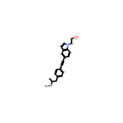 CC(=O)NC(C)Cc1ccc(C#Cc2ccc3c(ccn3CCO)c2)cc1